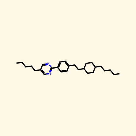 CCCCCc1cnc(-c2ccc(CCC3CCC(CCCCC)CC3)cc2)nc1